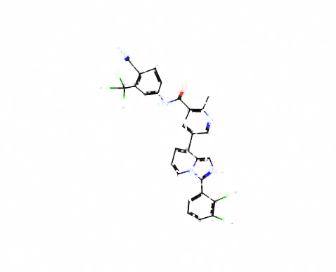 Cc1ncc(-c2cccn3c(-c4cccc(F)c4F)ncc23)cc1C(=O)Nc1ccc(C#N)c(C(F)(F)F)c1